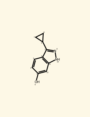 Oc1ccc2c(C3CC3)n[nH]c2c1